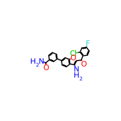 NC(=O)c1cccc(-c2ccc3c(N)c(C(=O)c4ccc(F)cc4Cl)oc3c2)c1